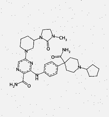 CN1CCN(C2CCCN(c3cnc(C(N)=O)c(Nc4ccc(C5(C(N)=O)CCN(C6CCCC6)CC5)cc4)n3)C2)C1=O